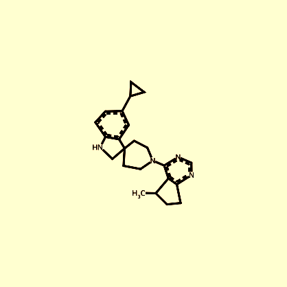 CC1CCc2ncnc(N3CCC4(CC3)CNc3ccc(C5CC5)cc34)c21